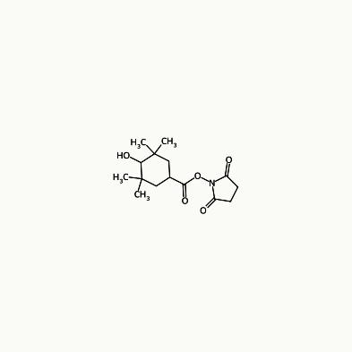 CC1(C)CC(C(=O)ON2C(=O)CCC2=O)CC(C)(C)C1O